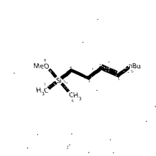 CCCCC=CCC[Si](C)(C)OC